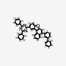 c1ccc(-c2cccc(-c3cc4oc5ccc(-c6nc(-c7ccccc7)nc(-c7ccccc7)n6)cc5c4c4ccccc34)c2)cc1